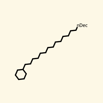 CCCCCCCCCCCCCCCCCCCCCCCCC1CCCCC1